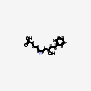 O=C(O)CCC/C=C\CC(O)CCc1ccccc1